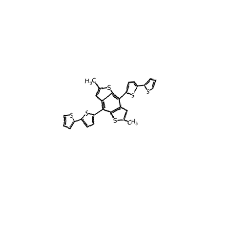 Cc1cc2c(-c3ccc(-c4cccs4)s3)c3sc(C)cc3c(-c3ccc(-c4cccs4)s3)c2s1